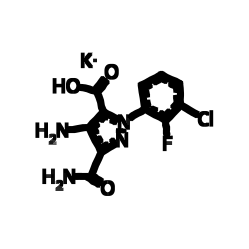 NC(=O)c1nn(-c2cccc(Cl)c2F)c(C(=O)O)c1N.[K]